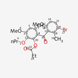 CCCOc1c(OC)cc(C)c(C(=O)c2c(OC)ccc(Br)c2C)c1OC(=O)CC